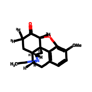 [2H]C1([2H])C[C@H]2[C@H]3Cc4ccc(OC)c5c4[C@@]2(CCN3C)C([2H])(O5)C1=O